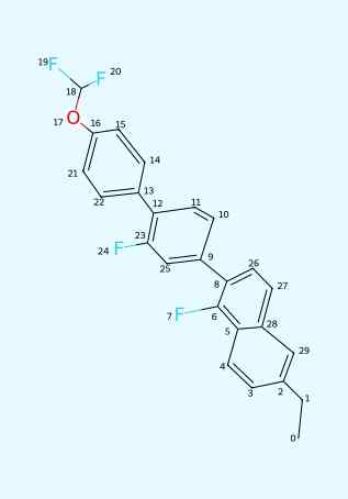 CCc1ccc2c(F)c(-c3ccc(-c4ccc(OC(F)F)cc4)c(F)c3)ccc2c1